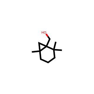 CC1(C)CCCC2(C)CC12CO